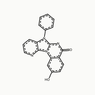 O=c1nc2n(-c3ccccc3)c3cccnc3n2c2cc(O)ccc12